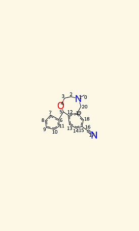 CN1CCOC(c2ccccc2)c2ccc(C#N)cc2C1